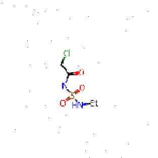 CCNS(=O)(=O)[N]C(=O)CCl